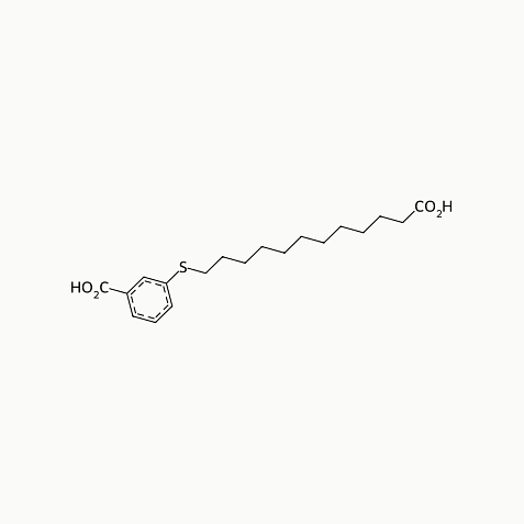 O=C(O)CCCCCCCCCCCSc1cccc(C(=O)O)c1